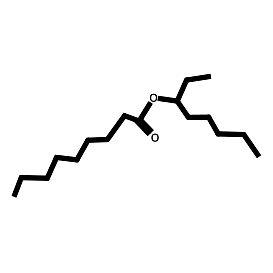 CCCCCCCCC(=O)OC(CC)CCCCC